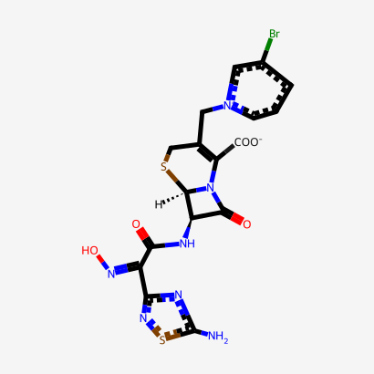 Nc1nc(/C(=N/O)C(=O)N[C@@H]2C(=O)N3C(C(=O)[O-])=C(C[n+]4cccc(Br)c4)CS[C@H]23)ns1